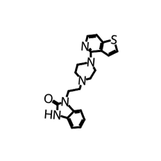 O=c1[nH]c2ccccc2n1CCN1CCN(c2nccc3sccc23)CC1